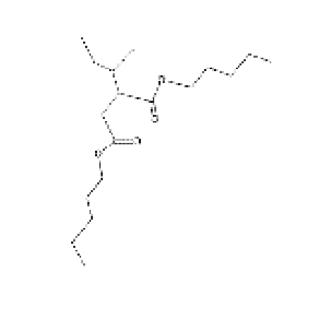 CCCCCOC(=O)CC(C(=O)OCCCCC)C(C)CC